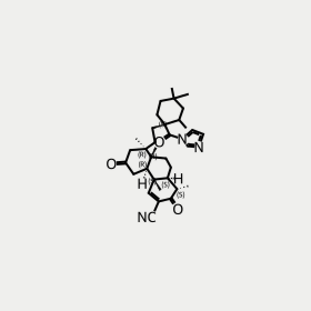 CC1CC(C)(C)CC[C@@]1(CC[C@]1(C)CC(=O)C[C@@H]2[C@@]3(C)C=C(C#N)C(=O)[C@@H](C)[C@@H]3CC[C@]21C)C(=O)n1ccnc1